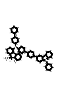 CC1(C)c2ccccc2-c2c(N(c3ccc(-c4ccccc4)cc3)c3ccc(-c4ccc(-c5ccc6c(c5)c5ccccc5n6-c5ccccc5)cc4)cc3)cccc21